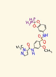 COc1cc(NC(=O)c2ccnn2C)ccc1S(=O)(=O)Nc1ccc2c(c1)OC(P)(P)O2